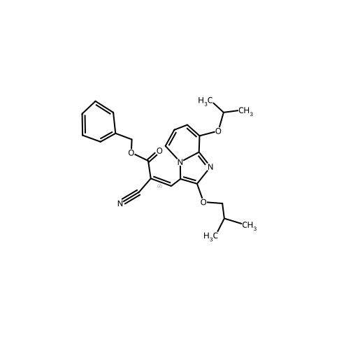 CC(C)COc1nc2c(OC(C)C)cccn2c1/C=C(/C#N)C(=O)OCc1ccccc1